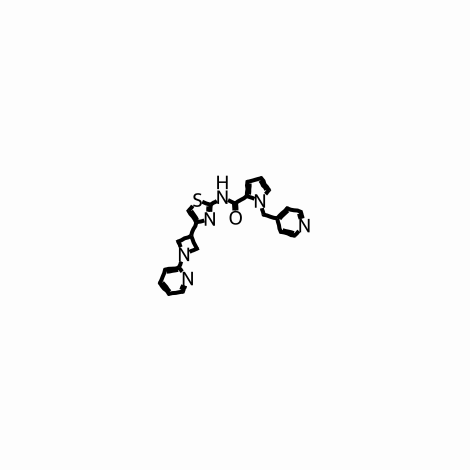 O=C(Nc1nc(C2CN(c3ccccn3)C2)cs1)c1cccn1Cc1ccncc1